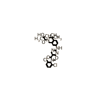 CC(C)(O)C(=O)N1Cc2cc(Nc3ncc4c(n3)OCN(c3c(Cl)cccc3Cl)C4=O)ccc2C(C)(C)C1